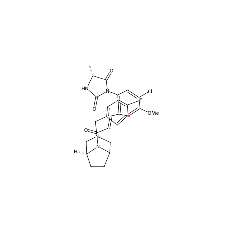 COc1cc(C=CC(=O)N2C3CC[C@H]2CN(Cc2ccc(F)cc2)C3)c(N2C(=O)N[C@H](C)C2=O)cc1Cl